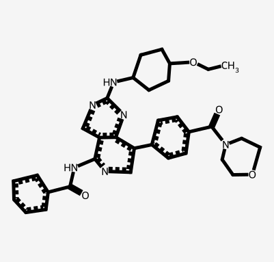 CCOC1CCC(Nc2ncc3c(NC(=O)c4ccccc4)ncc(-c4ccc(C(=O)N5CCOCC5)cc4)c3n2)CC1